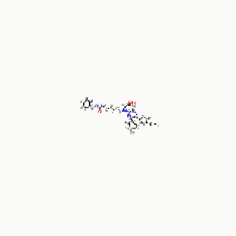 Cc1ccc(-c2nc3c(nc2-c2ccc(Cl)cc2)N(CCCCCCC(=O)NCc2ccccc2)CC(O)C3)cc1